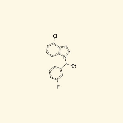 [CH2]CC(c1cccc(F)c1)n1ccc2c(Cl)cccc21